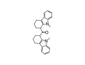 Cn1c2c(c3ccccc31)CCCC2C(=O)C1CCCc2c1n(C)c1ccccc21